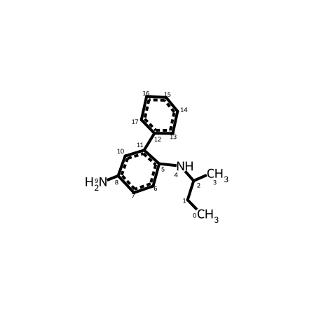 CCC(C)Nc1ccc(N)cc1-c1ccccc1